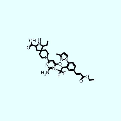 CCOC(=O)/C=C/c1ccc(-n2ccc(C)n2)c([C@@H](Oc2cc(N3CCC4(CC3)CC(C(=O)O)NC4CC)nc(N)n2)C(F)(F)F)c1